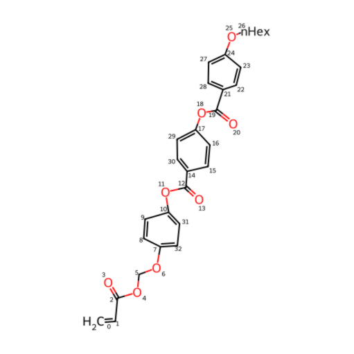 C=CC(=O)OCOc1ccc(OC(=O)c2ccc(OC(=O)c3ccc(OCCCCCC)cc3)cc2)cc1